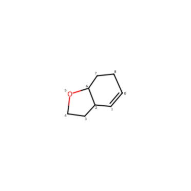 C1=CC2CCOC2CC1